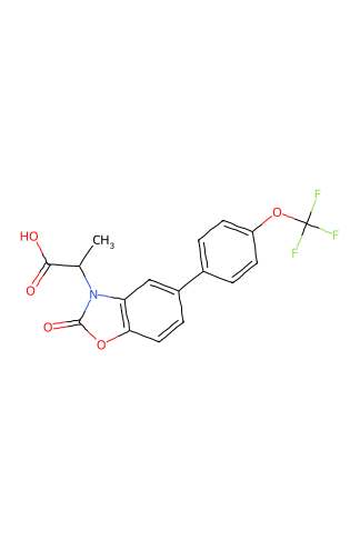 CC(C(=O)O)n1c(=O)oc2ccc(-c3ccc(OC(F)(F)F)cc3)cc21